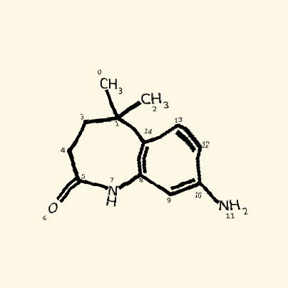 CC1(C)CCC(=O)Nc2cc(N)ccc21